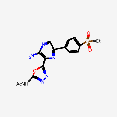 CCS(=O)(=O)c1ccc(-c2cnc(N)c(-c3nnc(NC(C)=O)o3)n2)cc1